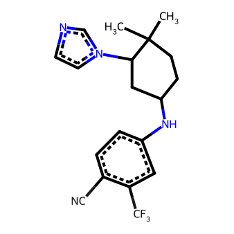 CC1(C)CCC(Nc2ccc(C#N)c(C(F)(F)F)c2)CC1n1ccnc1